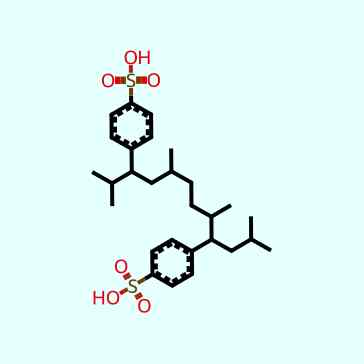 CC(C)CC(c1ccc(S(=O)(=O)O)cc1)C(C)CCC(C)CC(c1ccc(S(=O)(=O)O)cc1)C(C)C